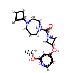 COc1cc(OC2CN(C(=O)N3CCCN(C4CCC4)CC3)C2)ccn1